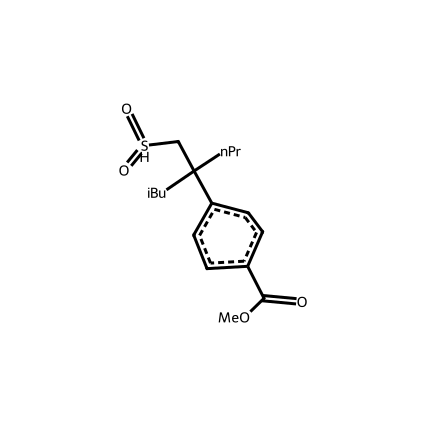 CCCC(C[SH](=O)=O)(c1ccc(C(=O)OC)cc1)C(C)CC